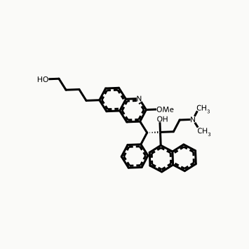 COc1nc2ccc(CCCCO)cc2cc1[C@@H](c1ccccc1)C(O)(CCN(C)C)c1cccc2ccccc12